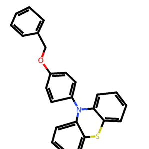 c1ccc(COc2ccc(N3c4ccccc4Sc4ccccc43)cc2)cc1